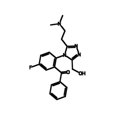 CN(C)CCc1nnc(CO)n1-c1ccc(F)cc1C(=O)c1ccccc1